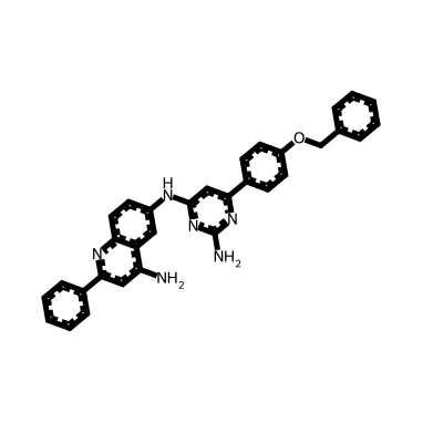 Nc1nc(Nc2ccc3nc(-c4ccccc4)cc(N)c3c2)cc(-c2ccc(OCc3ccccc3)cc2)n1